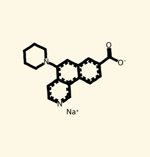 O=C([O-])c1ccc2c(c1)cc(N1CCCCC1)c1ccncc12.[Na+]